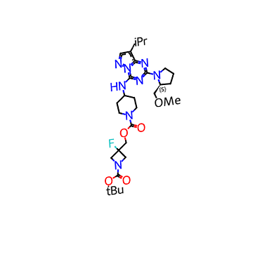 COC[C@@H]1CCCN1c1nc(NC2CCN(C(=O)OCC3(F)CN(C(=O)OC(C)(C)C)C3)CC2)n2ncc(C(C)C)c2n1